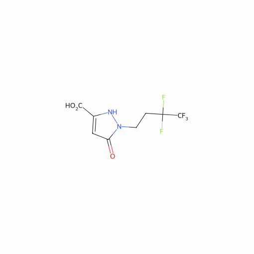 O=C(O)c1cc(=O)n(CCC(F)(F)C(F)(F)F)[nH]1